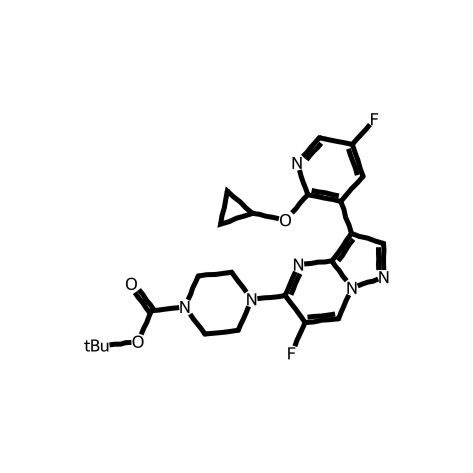 CC(C)(C)OC(=O)N1CCN(c2nc3c(-c4cc(F)cnc4OC4CC4)cnn3cc2F)CC1